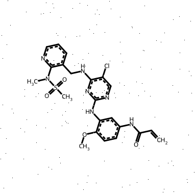 C=CC(=O)Nc1ccc(OC)c(Nc2ncc(Cl)c(NCc3cccnc3N(C)S(C)(=O)=O)n2)c1